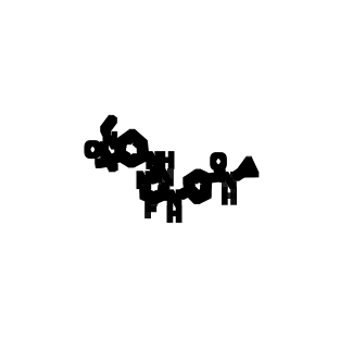 CCN1C(=O)C(C)(C)c2cc(Nc3ncc(F)c(Nc4ccc(C(=O)NC5CC5)cc4)n3)ccc21